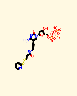 Nc1nc(=O)n([C@H]2CC(O)[C@@H](COP(=O)(O)OP(=O)(O)OP(=O)(O)O)O2)cc1C#CCNC(=O)CCSSc1ccccn1